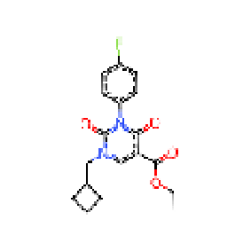 CCOC(=O)c1cn(CC2CCC2)c(=O)n(-c2ccc(F)cc2)c1=O